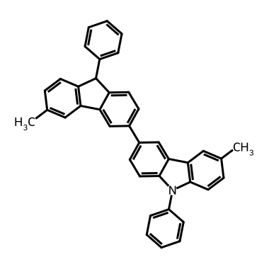 Cc1ccc2c(c1)-c1cc(-c3ccc4c(c3)c3cc(C)ccc3n4-c3ccccc3)ccc1C2c1ccccc1